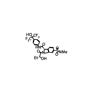 CC[C@@H](O)C(=O)N1Cc2cc(S(=O)(=O)NC)ccc2[C@@H]1C(=O)Nc1ccc(C(O)(C(F)(F)F)C(F)(F)F)cc1